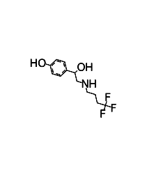 Oc1ccc(C(O)CNCCCC(F)(F)F)cc1